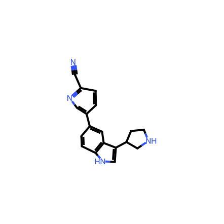 N#Cc1ccc(-c2ccc3[nH]cc(C4CCNC4)c3c2)cn1